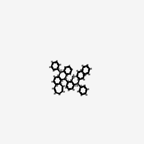 Clc1c(B2c3ccccc3N(c3ccccc3)c3ccc4c(c32)C=CCC=C4)cccc1N(c1ccccc1)c1ccc2ccccc2c1